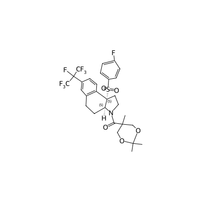 CC1(C)OCC(C)(C(=O)N2CC[C@]3(S(=O)(=O)c4ccc(F)cc4)c4ccc(C(F)(C(F)(F)F)C(F)(F)F)cc4CC[C@H]23)CO1